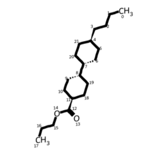 CCCC[C@H]1CC[C@H]([C@H]2CC[C@H](C(=O)OCCC)CC2)CC1